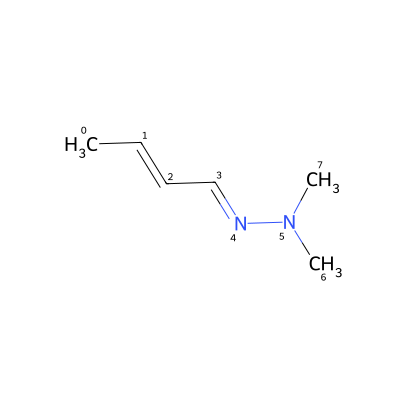 C/C=C/C=NN(C)C